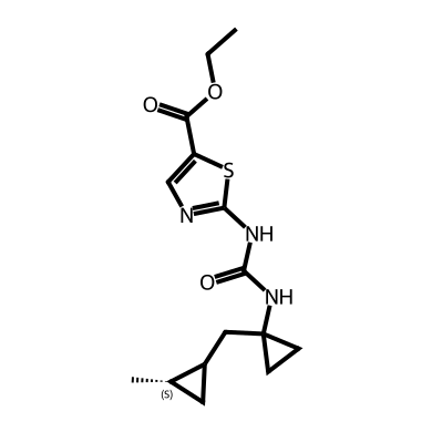 CCOC(=O)c1cnc(NC(=O)NC2(CC3C[C@@H]3C)CC2)s1